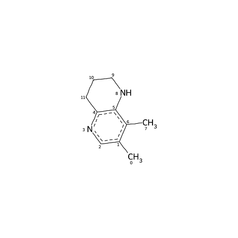 Cc1cnc2c(c1C)NCCC2